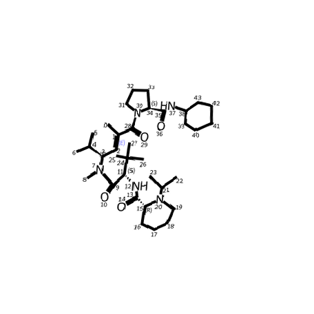 C/C(=C\[C@H](C(C)C)N(C)C(=O)[C@@H](NC(=O)[C@H]1CCCCN1C(C)C)C(C)(C)C)C(=O)N1CCC[C@H]1C(=O)NC1CCCCC1